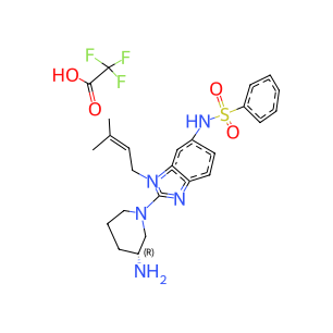 CC(C)=CCn1c(N2CCC[C@@H](N)C2)nc2ccc(NS(=O)(=O)c3ccccc3)cc21.O=C(O)C(F)(F)F